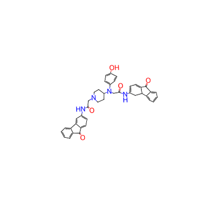 O=C(CN(c1ccc(O)cc1)C1CCN(CC(=O)Nc2ccc3c(c2)-c2ccccc2C3=O)CC1)NC1=CC=C2C(=O)c3ccccc3C2C1